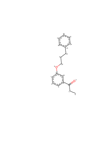 CCC(=O)c1cccc(OCCCc2ccccc2)c1